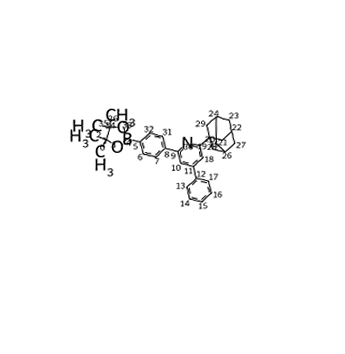 CC1(C)OB(c2ccc(-c3cc(-c4ccccc4)cc(C45CC6CC(CC(C6)C4)C5)n3)cc2)OC1(C)C